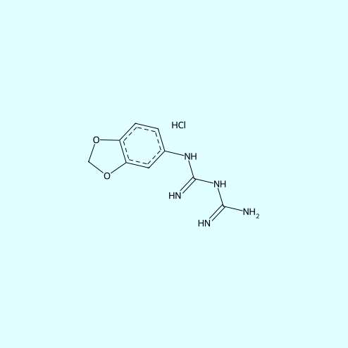 Cl.N=C(N)NC(=N)Nc1ccc2c(c1)OCO2